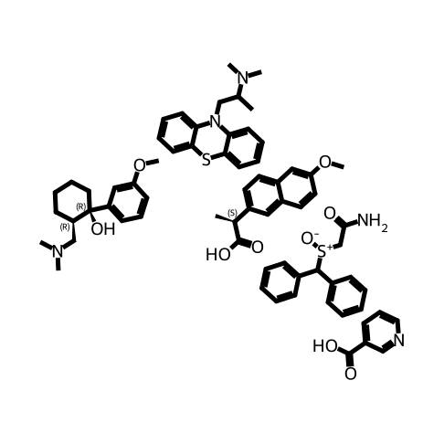 CC(CN1c2ccccc2Sc2ccccc21)N(C)C.COc1ccc2cc([C@H](C)C(=O)O)ccc2c1.COc1cccc([C@@]2(O)CCCC[C@@H]2CN(C)C)c1.NC(=O)C[S+]([O-])C(c1ccccc1)c1ccccc1.O=C(O)c1cccnc1